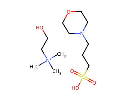 C[N+](C)(C)CCO.O=S(=O)(O)CCCN1CCOCC1